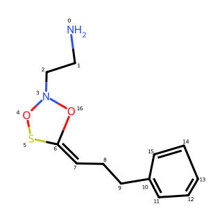 NCCN1OS/C(=C/CCc2ccccc2)O1